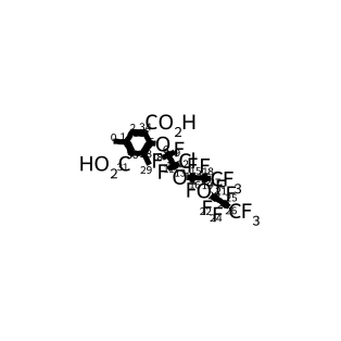 Cc1cc(C(=O)O)c(OC(F)(F)C(F)(Cl)OC(F)(F)C(F)(OC(F)(F)C(F)(F)C(F)(F)F)C(F)(F)F)c(C)c1C(=O)O